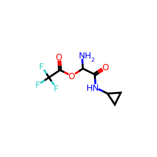 NC(OC(=O)C(F)(F)F)C(=O)NC1CC1